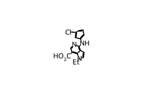 CCn1ccc2c(Nc3cccc(Cl)c3)ncc(C(=O)O)c21